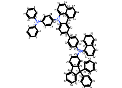 c1ccc(N(c2ccccc2)c2ccc(N3c4ccc(-c5ccc(N(c6ccc7c(c6)C(c6ccccc6)(c6ccccc6)c6ccccc6-7)c6cccc7ccccc67)cc5)cc4-c4cccc5cccc3c45)cc2)cc1